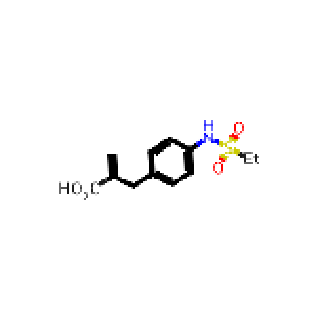 C=C(Cc1ccc(NS(=O)(=O)CC)cc1)C(=O)O